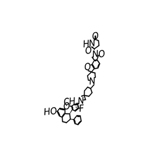 COc1cc(N2CC3(CCC(CN4CCC5(CC4)COc4c5ccc5c4CN([C@H]4CCC(=O)NC4=O)C5=O)CC3)C2)c(F)cc1[C@@H]1c2ccc(O)cc2CC[C@@H]1c1ccccc1